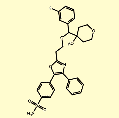 NS(=O)(=O)c1ccc(-c2oc(CCOC(c3cccc(F)c3)C3(O)CCOCC3)nc2-c2ccccc2)cc1